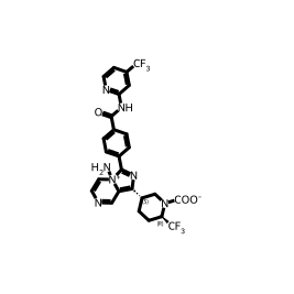 N[N+]12C=CN=CC1=C([C@H]1CC[C@H](C(F)(F)F)N(C(=O)[O-])C1)N=C2c1ccc(C(=O)Nc2cc(C(F)(F)F)ccn2)cc1